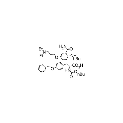 CCCCNc1ccc(OCCCN(CC)CC)cc1C(N)=O.CCCCOC(=O)NC(Cc1ccc(OCc2ccccc2)cc1)C(=O)O